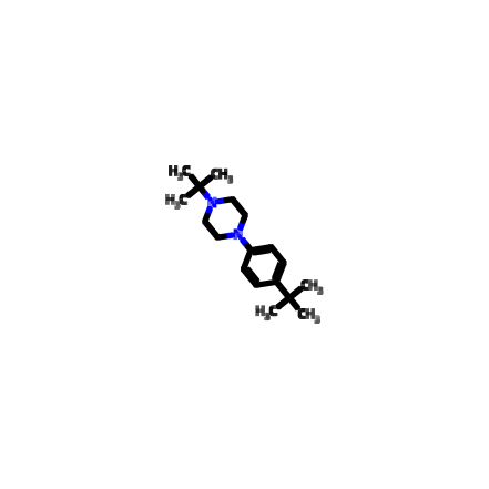 CC(C)(C)c1ccc(N2CCN(C(C)(C)C)CC2)cc1